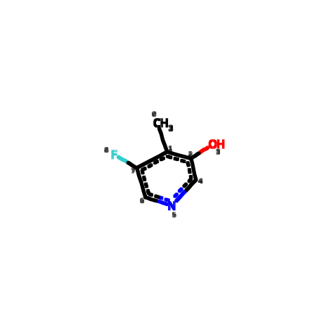 Cc1c(O)cncc1F